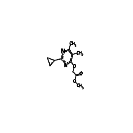 COC(=O)COc1nc(C2CC2)nc(C)c1C